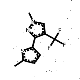 Cc1ccc(-c2nn(C)cc2C(F)(F)F)s1